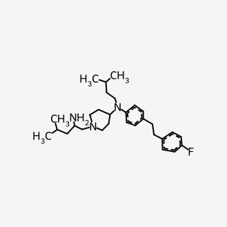 CC(C)CCN(c1ccc(CCc2ccc(F)cc2)cc1)C1CCN(CC(N)CC(C)C)CC1